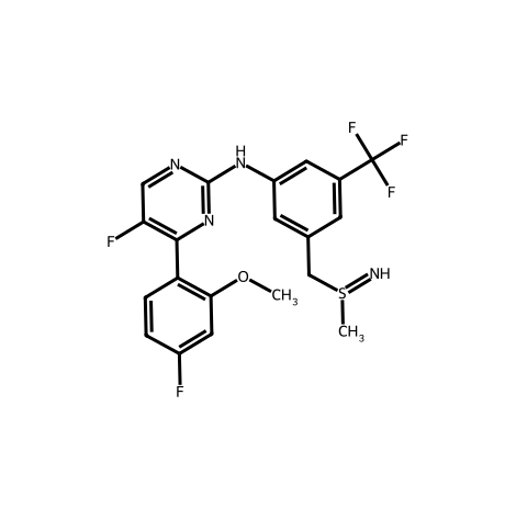 COc1cc(F)ccc1-c1nc(Nc2cc(CS(C)=N)cc(C(F)(F)F)c2)ncc1F